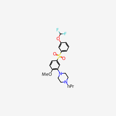 CCCN1CCN(c2cc(S(=O)(=O)c3cccc(OC(F)F)c3)ccc2OC)CC1